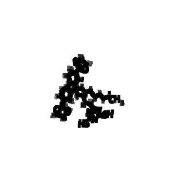 CCCCCCCCC1(CCCCc2nc(S)nc(S)n2)c2cc(B3OCCO3)ccc2-c2ccc(B3OCCO3)cc21